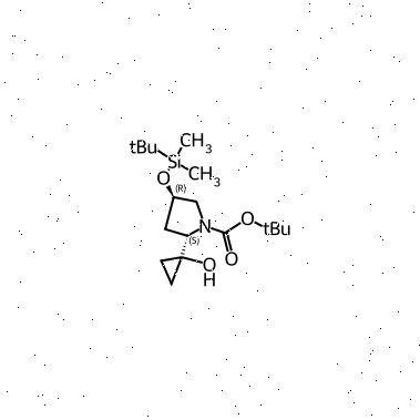 CC(C)(C)OC(=O)N1C[C@H](O[Si](C)(C)C(C)(C)C)C[C@H]1C1(O)CC1